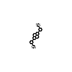 c1cc(-c2cc3ccc4cc(-c5cccc(-c6cncs6)c5)cc5ccc(c2)c3c45)cc(-c2cncs2)c1